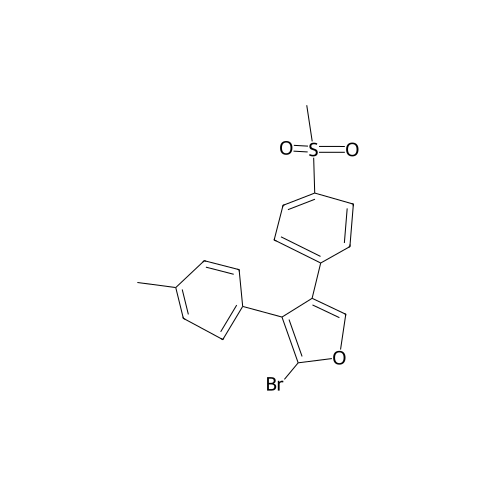 Cc1ccc(-c2c(-c3ccc(S(C)(=O)=O)cc3)coc2Br)cc1